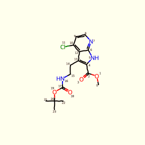 COC(=O)c1[nH]c2nccc(Cl)c2c1CCNC(=O)OC(C)(C)C